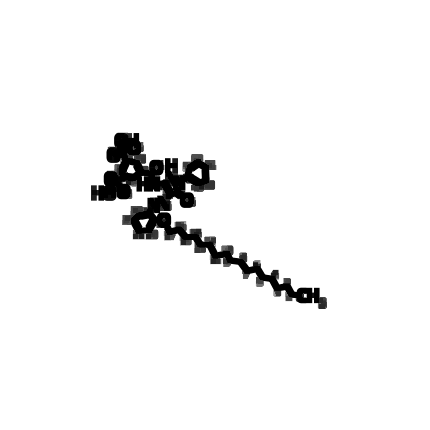 CCCCCCCCCCCCCCCCCCOc1ccccc1N=Nc1c(NC(=O)c2cc(S(=O)(=O)O)cc(S(=O)(=O)O)c2)[nH]n(-c2ccccc2)c1=O